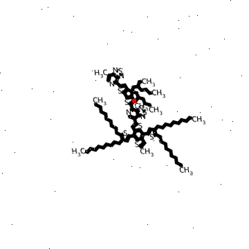 CCCCCCCCCCc1cc(-c2c3cc(-c4cnc(-c5cc6c(s5)-c5sc(-c7ncc(C)c8nsnc78)cc5C6(CC(CC)CCCC)CC(CC)CCCC)c5nsnc45)sc3c(-c3cc(CCCCCCCCCC)c(CCCCCCCCCC)s3)c3cc(C)sc23)sc1CCCCCCCCCC